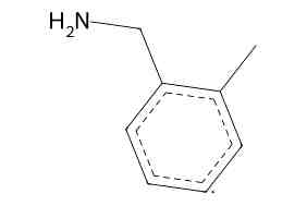 Cc1c[c]ccc1CN